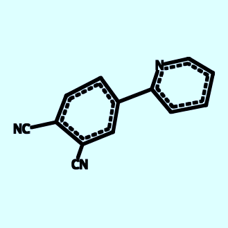 N#Cc1ccc(-c2ccccn2)cc1C#N